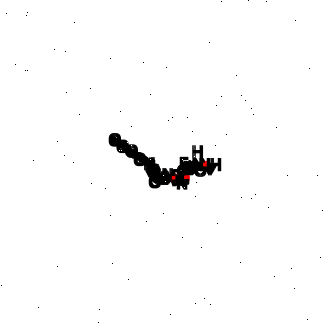 COCCOCCOCCOCCN(C)C1CCN(C(=O)c2ccc(-c3cc4nccc(Oc5ccc(NC(=O)NC6CC6)cc5F)c4s3)nc2)CC1